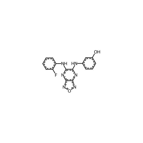 Oc1cccc(Nc2nc3nonc3nc2Nc2ccccc2F)c1